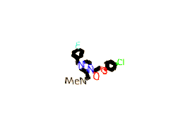 CNCC1CN(Cc2ccc(F)cc2)CCN1C(=O)COc1ccc(Cl)cc1